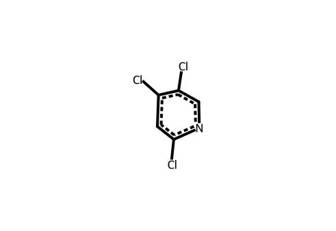 Clc1cc(Cl)c(Cl)cn1